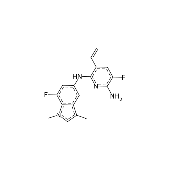 C=Cc1cc(F)c(N)nc1Nc1cc(F)c2c(c1)c(C)cn2C